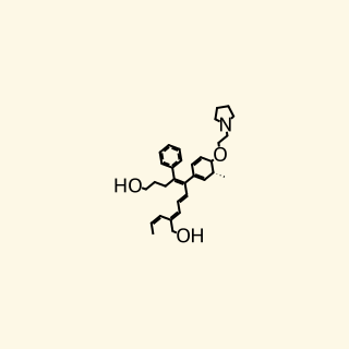 C\C=C/C(=C\C=C\C(C1=C[C@@H](C)C(OCCN2CCCC2)C=C1)=C(/CCCO)c1ccccc1)CO